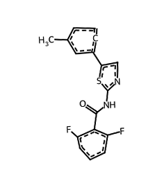 Cc1cccc(-c2cnc(NC(=O)c3c(F)cccc3F)s2)c1